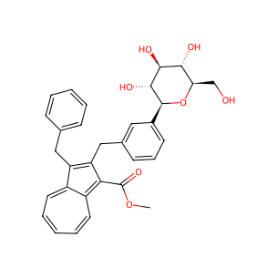 COC(=O)c1c2cccccc-2c(Cc2ccccc2)c1Cc1cccc([C@@H]2O[C@H](CO)[C@@H](O)[C@H](O)[C@H]2O)c1